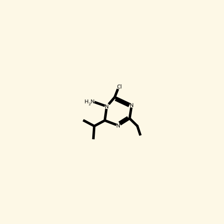 CCC1=NC(C(C)C)N(N)C(Cl)=N1